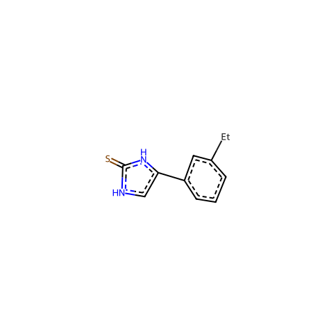 CCc1cccc(-c2c[nH]c(=S)[nH]2)c1